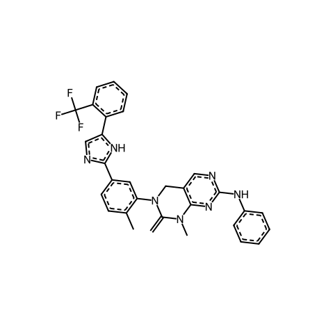 C=C1N(C)c2nc(Nc3ccccc3)ncc2CN1c1cc(-c2ncc(-c3ccccc3C(F)(F)F)[nH]2)ccc1C